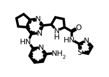 Nc1cccc(Nc2nc(C3CCC(C(=O)Nc4nccs4)N3)nc3c2CCC3)n1